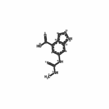 CNC(=S)Nc1cc(C(=O)O)c2cn[nH]c2c1